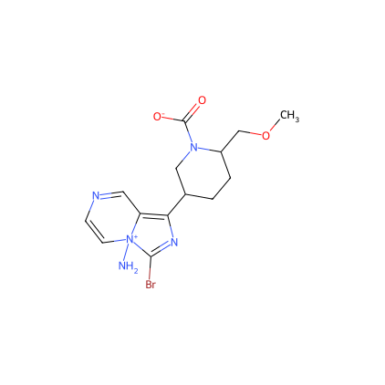 COCC1CCC(C2=C3C=NC=C[N+]3(N)C(Br)=N2)CN1C(=O)[O-]